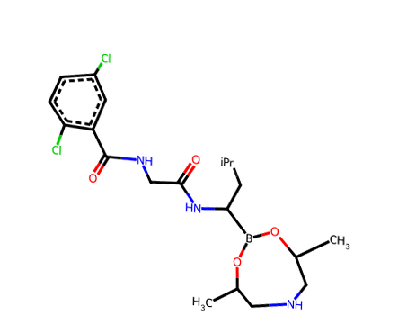 CC(C)CC(NC(=O)CNC(=O)c1cc(Cl)ccc1Cl)B1OC(C)CNCC(C)O1